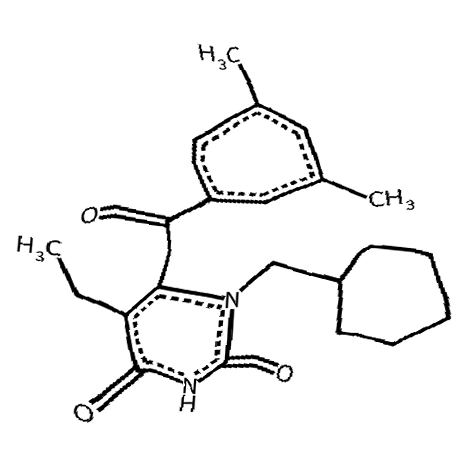 CCc1c(C(=O)c2cc(C)cc(C)c2)n(CC2CCCCC2)c(=O)[nH]c1=O